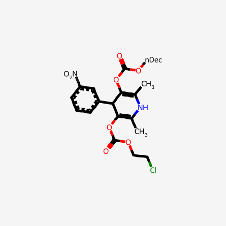 CCCCCCCCCCOC(=O)OC1=C(C)NC(C)=C(OC(=O)OCCCl)C1c1cccc([N+](=O)[O-])c1